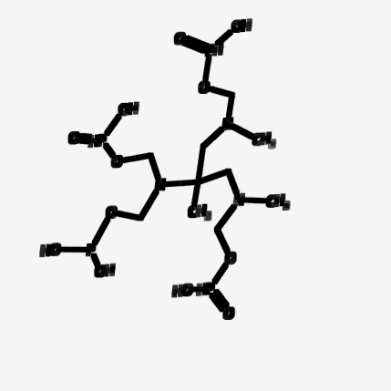 CN(CO[PH](=O)O)CC(C)(CN(C)CO[PH](=O)O)N(COP(O)O)CO[PH](=O)O